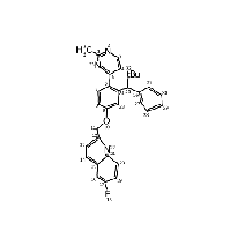 Cc1nccc(-c2ccc(OCc3ccc4cc(F)ccc4n3)cc2C(c2ccccc2)C(C)(C)C)n1